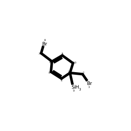 [SiH3]C1(CBr)C=CC(CBr)=CC1